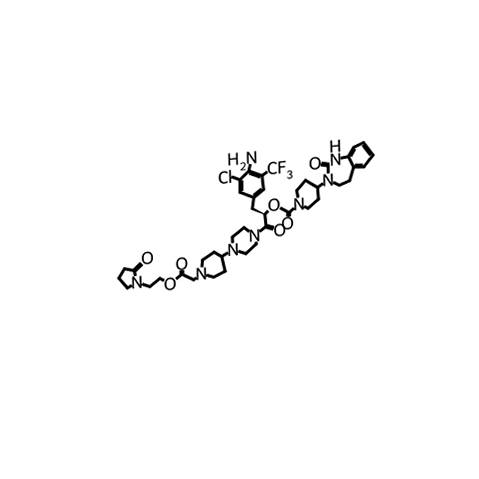 Nc1c(Cl)cc(C[C@@H](OC(=O)N2CCC(N3CCc4ccccc4NC3=O)CC2)C(=O)N2CCN(C3CCN(CC(=O)OCCN4CCCC4=O)CC3)CC2)cc1C(F)(F)F